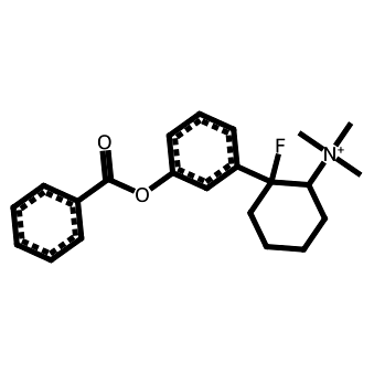 C[N+](C)(C)C1CCCCC1(F)c1cccc(OC(=O)c2ccccc2)c1